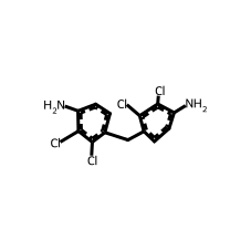 Nc1ccc(Cc2ccc(N)c(Cl)c2Cl)c(Cl)c1Cl